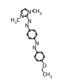 CCOc1ccc(/N=N/c2ccc(/N=N/c3n(C)cc[n+]3C)cc2)cc1